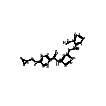 Nc1ncccc1NCc1cc(NC(=O)c2cnc(OCC3CC3)cn2)ccn1